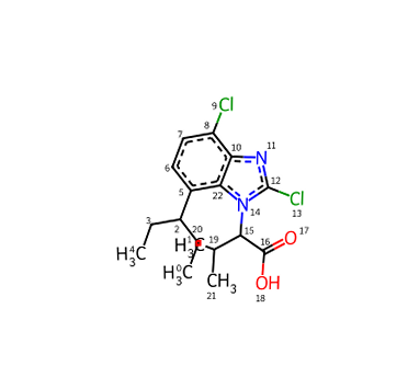 CCC(CC)c1ccc(Cl)c2nc(Cl)n(C(C(=O)O)C(C)C)c12